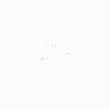 BCl.CC(C)(O)C(C)(C)O